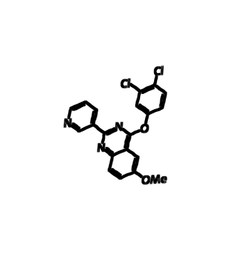 COc1ccc2nc(-c3cccnc3)nc(Oc3ccc(Cl)c(Cl)c3)c2c1